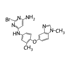 Cc1cc(Nc2cc(N)nc(Br)n2)ccc1Oc1ccc2c(c1)ncn2C